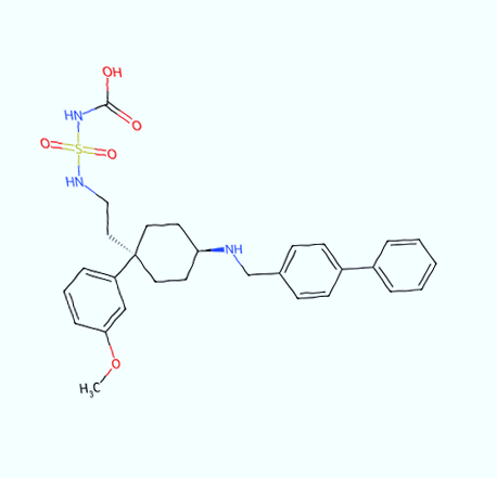 COc1cccc([C@]2(CCNS(=O)(=O)NC(=O)O)CC[C@H](NCc3ccc(-c4ccccc4)cc3)CC2)c1